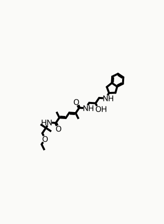 CCOCC(C)(C)NC(=O)/C(C)=C/C=C(\C)C(=O)NCC(O)CNC1Cc2ccccc2C1